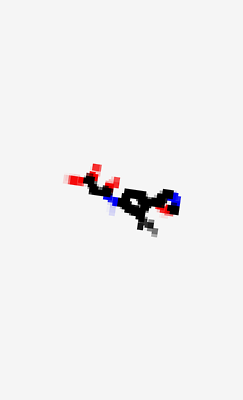 Cc1cc(NC(=O)CC(=O)O)ccc1-c1cnco1